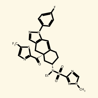 CCN([C@H]1CCC2=Cc3c(cnn3-c3ccc(F)cc3)C[C@]2(C(=O)c2ncc(C(F)(F)F)s2)C1)S(=O)(=O)c1ncn(C)n1